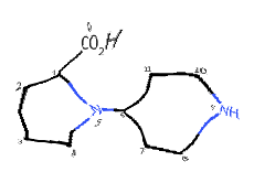 O=C(O)C1CCCN1C1CCNCC1